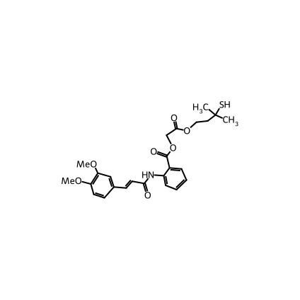 COc1ccc(C=CC(=O)Nc2ccccc2C(=O)OCC(=O)OCCC(C)(C)S)cc1OC